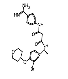 C[C@H](NC(=O)CC(=O)Nc1ccc(C(=N)N)cc1)c1ccc(OC2CCOCC2)c(Br)c1